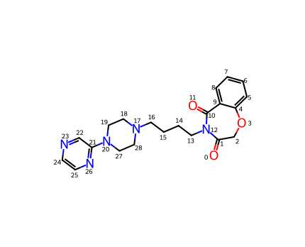 O=C1COc2ccccc2C(=O)N1CCCCN1CCN(c2cnccn2)CC1